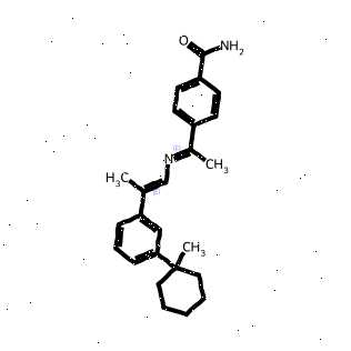 C/C(=C\N=C(/C)c1ccc(C(N)=O)cc1)c1cccc(C2(C)CCCCC2)c1